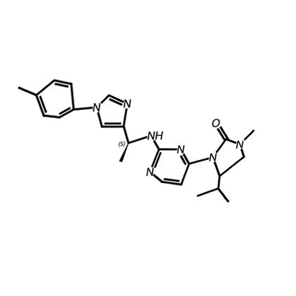 Cc1ccc(-n2cnc([C@H](C)Nc3nccc(N4C(=O)N(C)CC4C(C)C)n3)c2)cc1